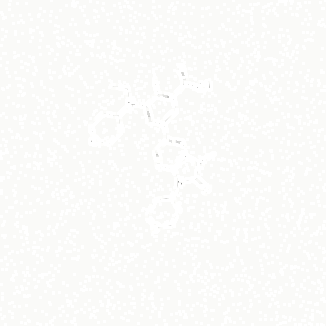 CCN(c1cc(-c2ccc3c(c2)n(C)c(=O)n3C2CCOCC2)cc(C(=O)O)c1C)C1CCOCC1